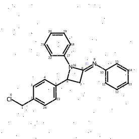 ClCc1ccc(C2C/C(=N\c3ccccc3)N2c2ccccc2)cc1